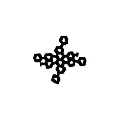 Fc1ccc(-c2c3cc(-c4ccccc4)ccc3c(-c3ccc(-c4ccccc4)cc3)c3c(-c4ccc(F)cc4)c4cc(-c5ccccc5)ccc4c(-c4ccc(-c5ccccc5)cc4)c23)cc1